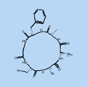 CC[C@H](C)[C@@H]1NC(=O)[C@H](C(C)C)NC(=O)[C@H](CC(C)C)NC(=O)CNC(=O)[C@H](Cc2ccccc2)NC(=O)[C@H](C)NC1=O